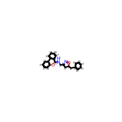 O=C(NCC1=NOC(Cc2ccccc2)C1)c1ccccc1-c1ccccc1